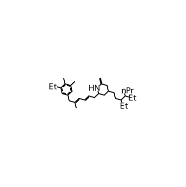 C=C1CC(CCC(CC)C(CC)CCC)CC(C/C=C/C=C(\C)Cc2cc(C)c(C)c(CC)c2)N1